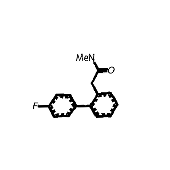 CNC(=O)Cc1ccccc1-c1ccc(F)cc1